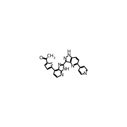 CC(=O)c1ccc(-c2ccnc3[nH]c(-c4n[nH]c5ccc(-c6ccncc6)nc45)nc23)s1